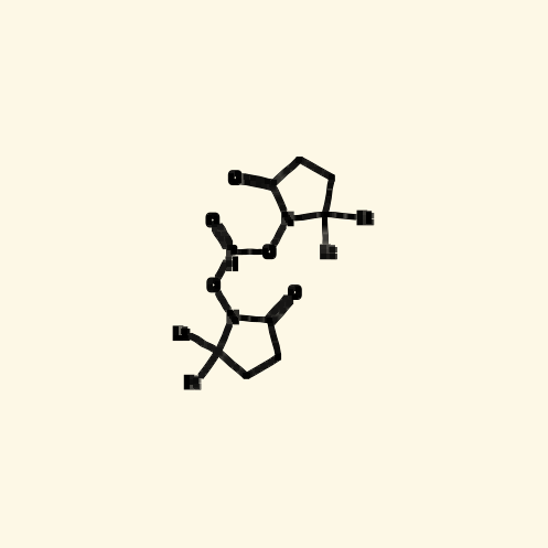 CCC1(CC)CCC(=O)N1O[PH](=O)ON1C(=O)CCC1(CC)CC